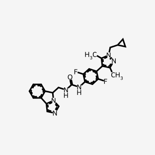 Cc1nn(CC2CC2)c(C)c1-c1cc(F)c(NC(=O)NCC2c3ccccc3-c3cncn32)cc1F